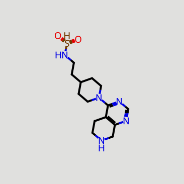 O=[SH](=O)NCCC1CCN(c2ncnc3c2CCNC3)CC1